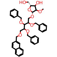 COC1C(O)[C@@H](CO)O[C@H]1OCC(OCc1ccccc1)C(OCc1ccccc1)C(COCc1ccc2ccccc2c1)OCc1ccccc1